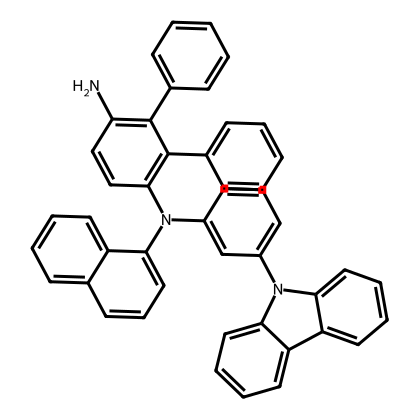 Nc1ccc(N(c2cccc(-n3c4ccccc4c4ccccc43)c2)c2cccc3ccccc23)c(-c2ccccc2)c1-c1ccccc1